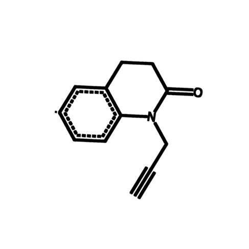 C#CCN1C(=O)CCc2c[c]ccc21